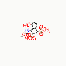 CCOC(=O)Nc1c(S(=O)(=O)O)cc(S(=O)(=O)O)c2cccc(O)c12